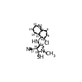 CN1SC(Nc2c(Cl)ccc3ncccc23)=C(C#N)C1S